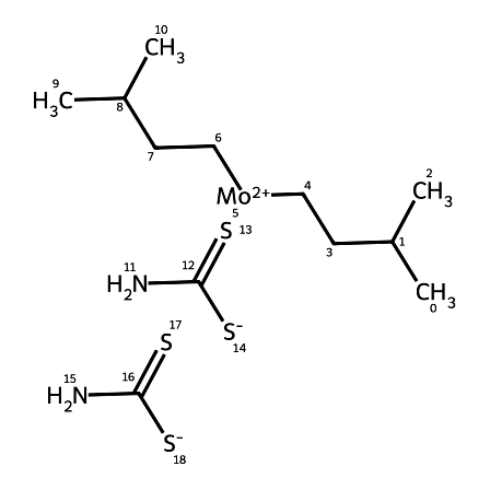 CC(C)C[CH2][Mo+2][CH2]CC(C)C.NC(=S)[S-].NC(=S)[S-]